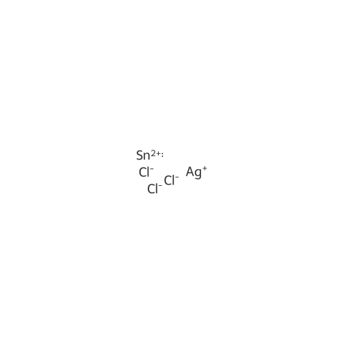 [Ag+].[Cl-].[Cl-].[Cl-].[Sn+2]